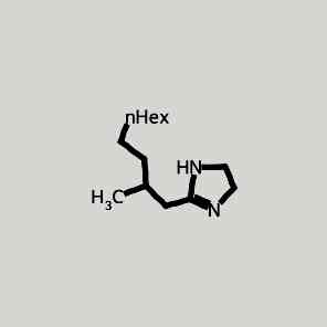 CCCCCCCCC(C)CC1=NCCN1